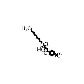 [C-]#[N+]c1ccc(C(=O)CC(O)C(=O)OCCCCCCCCCC)cc1